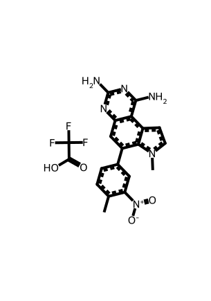 Cc1ccc(-c2cc3nc(N)nc(N)c3c3ccn(C)c23)cc1[N+](=O)[O-].O=C(O)C(F)(F)F